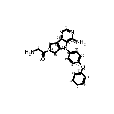 NCC(=O)N1Cc2c(n(-c3ccc(OC4=CCCC=C4)cc3)c3c(N)ncnc23)C1